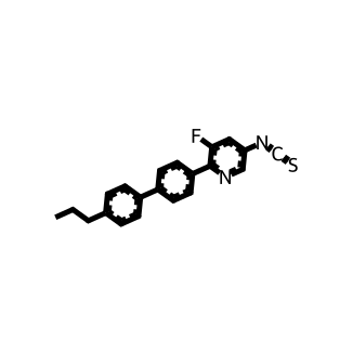 CCCc1ccc(-c2ccc(-c3ncc(N=C=S)cc3F)cc2)cc1